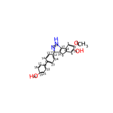 COc1cc2c(cc1O)Cc1c(-c3ccc(-c4ccc(O)cc4)cc3)n[nH]c1-2